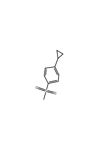 CS(=O)(=O)c1ccc(C2CC2)cc1